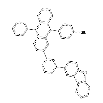 CC(C)(C)c1ccc(-c2c3ccccc3c(-c3ccccc3)c3ccc(-c4cccc(-c5ccc6oc7ccccc7c6c5)c4)cc23)cc1